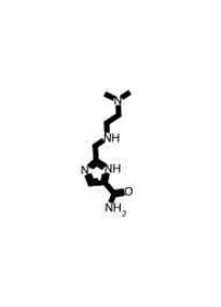 CN(C)CCNCc1ncc(C(N)=O)[nH]1